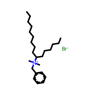 CCCCCCCCCC(CCCCCC)[N+](C)(C)Cc1ccccc1.[Br-]